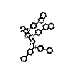 c1ccc(-c2ccc(N(c3ccc(-c4ccccc4)cc3)c3cc4c(s3)c3sc5c6sccc6n(-c6ccc(-c7ccc8ccccc8c7)cc6)c5c3n4-c3ccc(-c4ccc5ccccc5c4)cc3)cc2)cc1